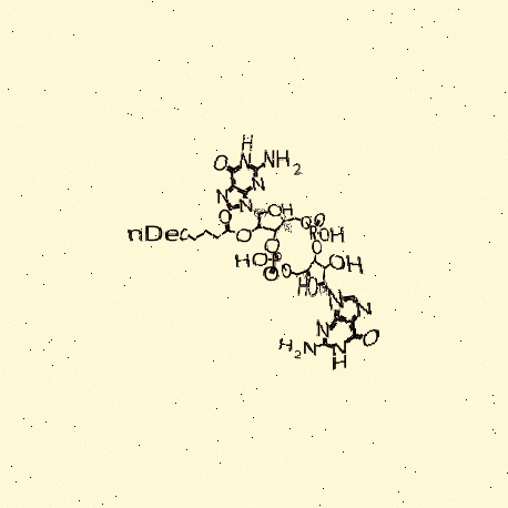 CCCCCCCCCCCCCC(=O)OC1C2OP(=O)(O)OC[C@@H]3O[C@H](n4cnc5c(=O)[nH]c(N)nc54)C(O)C3OP(=O)(O)OC[C@@H]2O[C@H]1n1cnc2c(=O)[nH]c(N)nc21